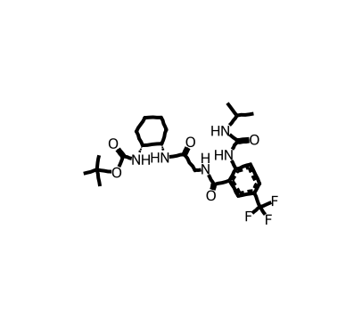 CC(C)NC(=O)Nc1ccc(C(F)(F)F)cc1C(=O)NCC(=O)N[C@H]1CCCC[C@H]1NC(=O)OC(C)(C)C